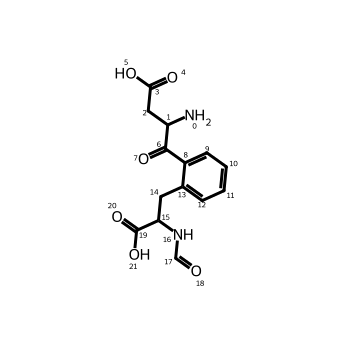 NC(CC(=O)O)C(=O)c1ccccc1CC(NC=O)C(=O)O